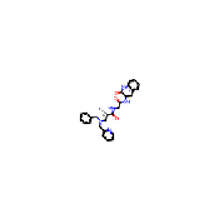 [2H][C@@H](CN(Cc1ccccc1)Cc1ccccn1)C(=O)NCC(=O)NC(Cc1ccccc1)C(N)=O